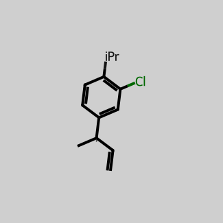 C=C[C](C)c1ccc(C(C)C)c(Cl)c1